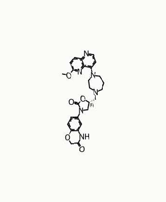 COc1ccc2nccc(N3CCCN(C[C@@H]4CN(c5ccc6c(c5)NC(=O)CO6)C(=O)O4)CC3)c2n1